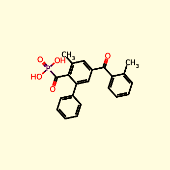 Cc1ccccc1C(=O)c1cc(C)c(C(=O)P(=O)(O)O)c(-c2ccccc2)c1